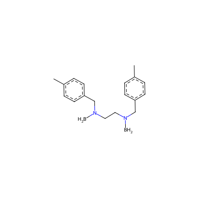 BN(CCN(B)Cc1ccc(C)cc1)Cc1ccc(C)cc1